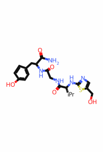 CC(C)C(Nc1ncc(CO)s1)C(=O)NCC(=O)NC(Cc1ccc(O)cc1)C(N)=O